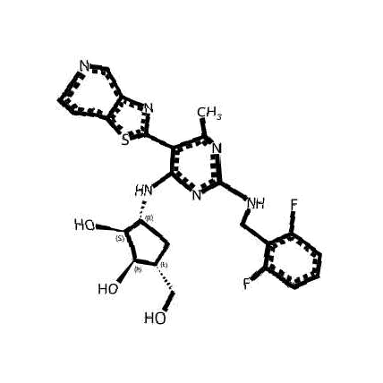 Cc1nc(NCc2c(F)cccc2F)nc(N[C@@H]2C[C@H](CO)[C@@H](O)[C@H]2O)c1-c1nc2cnccc2s1